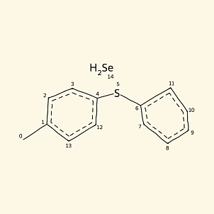 Cc1ccc(Sc2ccccc2)cc1.[SeH2]